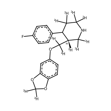 [2H]C1([2H])Oc2ccc(OC([2H])([2H])[C@]3([2H])C(c4ccc(F)cc4)C([2H])([2H])C([2H])([2H])NC3([2H])[2H])cc2O1